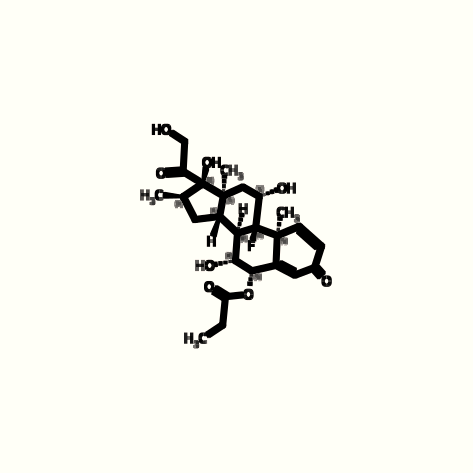 CCC(=O)O[C@H]1C2=CC(=O)C=C[C@]2(C)[C@]2(F)[C@@H]([C@H]1O)[C@@H]1C[C@@H](C)[C@](O)(C(=O)CO)[C@@]1(C)C[C@@H]2O